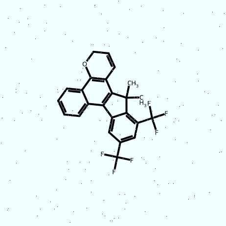 CC1(C)c2c(cc(C(F)(F)F)cc2C(F)(F)F)-c2c1c1c(c3ccccc23)OCC=C1